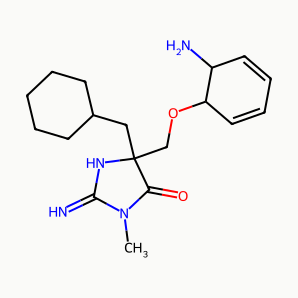 CN1C(=N)NC(COC2C=CC=CC2N)(CC2CCCCC2)C1=O